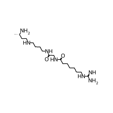 C[C@H](N)CCNCCCCNC(=O)CNC(=O)CCCCCCNC(=N)N